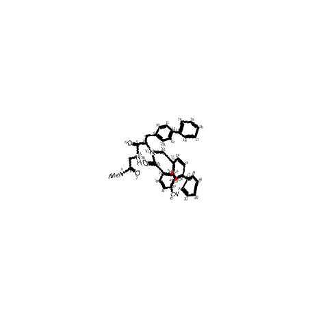 CNC(=O)CNC(=O)C(Cc1ccc(-c2ccccc2)cc1)N(Cc1ccc(-c2ccccc2)cc1)C(=O)c1ccc(C#N)cc1